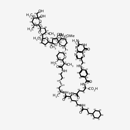 CO[C@@H]1C[C@@H](C[C@H]2CC[C@H](C)C([C@@H](C)C(=O)NCCSSC[C@@H](C)NC(=O)C(CCCNC(=O)CCC3CCCCC3)NC(=O)CC[C@H](NC(=O)c3ccc(NCc4cnc5nc(N)[nH]c(=O)c5n4)cc3)C(=O)O)O2)O[C@]2(O[C@@](C)(C3CC[C@@](C)([C@@H]4O[C@@H]([C@@H]5O[C@@](O)(CO)[C@H](C)C[C@@H]5C)C[C@@H]4C)O3)C[C@H]2C)[C@@H]1C